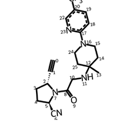 C#C[C@H]1CC[C@H](C#N)N1C(=O)CNC1(C)CCN(c2ccc(C(F)(F)F)cn2)CC1